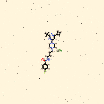 CC(C)(C)c1nc(C2CCC2)cc(N2CCN(CCCCNC(=O)c3ccc(F)cc3)CC2)n1.Cl